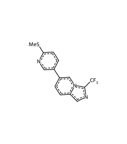 CSc1ccc(-c2ccc3cnc(C(F)(F)F)n3c2)cn1